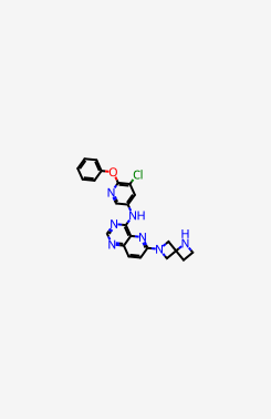 Clc1cc(Nc2ncnc3ccc(N4CC5(CCN5)C4)nc23)cnc1Oc1ccccc1